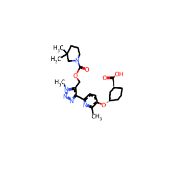 Cc1nc(-c2nnn(C)c2COC(=O)N2CCCC(C)(C)C2)ccc1O[C@H]1CCC[C@H](C(=O)O)C1